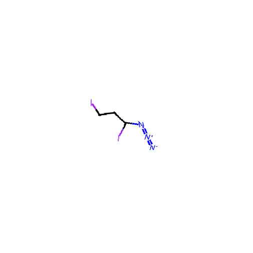 [N-]=[N+]=NC(I)CCI